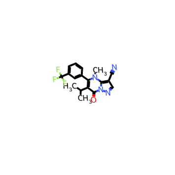 CC(C)c1c(-c2cccc(C(F)(F)F)c2)n(C)c2c(C#N)cnn2c1=O